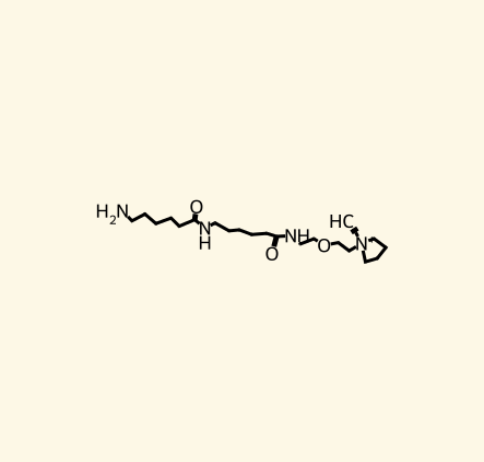 C#C[N+]1(CCOCCNC(=O)CCCCCNC(=O)CCCCCN)CCCC1